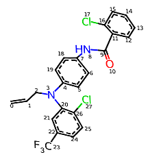 C=CCN(c1ccc(NC(=O)c2ccccc2Cl)cc1)c1cc(C(F)(F)F)ccc1Cl